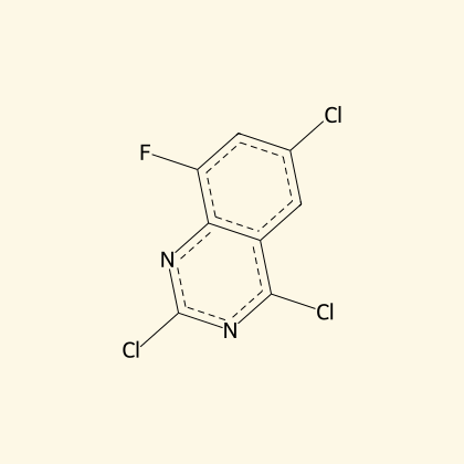 Fc1cc(Cl)cc2c(Cl)nc(Cl)nc12